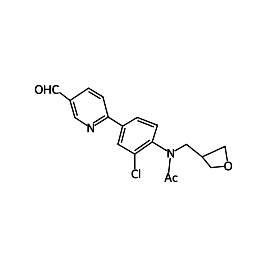 CC(=O)N(CC1COC1)c1ccc(-c2ccc(C=O)cn2)cc1Cl